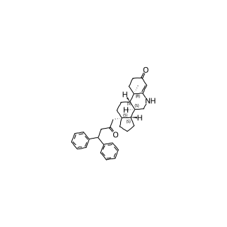 C[C@]12CCC(=O)C=C1NC[C@H]1[C@@H]3CCC[C@@]3(CC(=O)CC(c3ccccc3)c3ccccc3)CC[C@@H]12